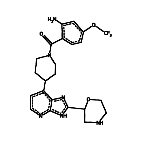 Nc1cc(OC(F)(F)F)ccc1C(=O)N1CCC(c2ccnc3[nH]c(C4CNCCO4)nc23)CC1